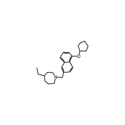 CCC1CCCN(Cc2ccc3c(OC4CCCCC4)cccc3c2)CC1